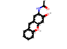 CC(=O)Nc1cc2cc3ccccc3oc-2cc1=O